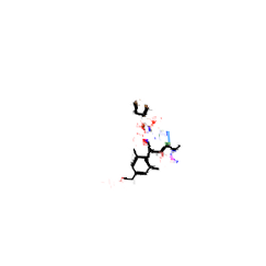 Cc1cc(CCO)cc(C)c1C(C(=O)NS(=O)(=O)c1ccsc1)c1onc(C)c1Cl